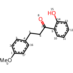 COc1ccc(CCC(=O)c2ccccc2O)cc1